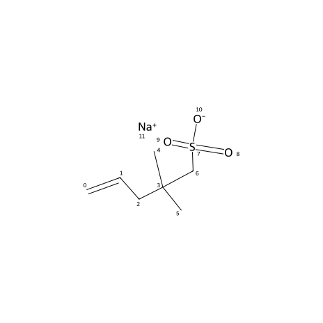 C=CCC(C)(C)CS(=O)(=O)[O-].[Na+]